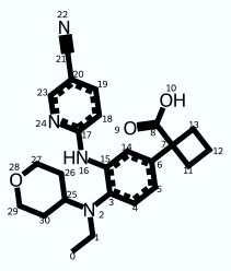 CCN(c1ccc(C2(C(=O)O)CCC2)cc1Nc1ccc(C#N)cn1)C1CCOCC1